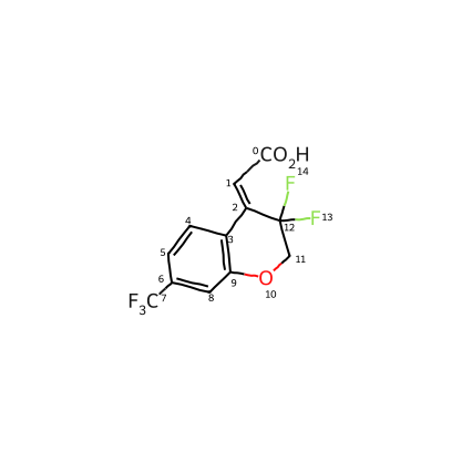 O=C(O)C=C1c2ccc(C(F)(F)F)cc2OCC1(F)F